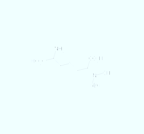 CCCCN(C)C(CSCC(N)C(=O)O)C(=O)O